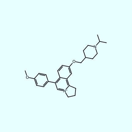 COc1ccc(-c2c[n+]3c(c4cc(OCC5CCN(C(C)C)CC5)ccc24)CCC3)cc1